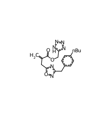 C=C(Cc1nc(Cc2ccc(CCCC)cc2)no1)C(=O)OCc1nnn[nH]1